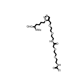 CCC(=O)NCCOCCOCC(=O)NCCOCCOCc1cnnn1CCCCC(C=O)NC